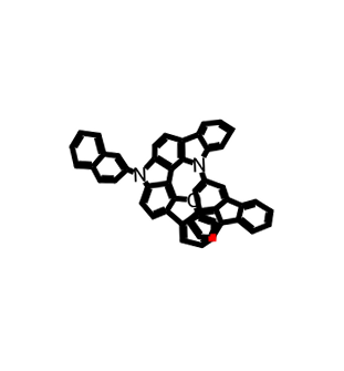 c1ccc2c(c1)-c1cccc3cc(-n4c5ccccc5c5ccc6c(c7c8oc9ccccc9c8ccc7n6-c6ccc7ccccc7c6)c54)cc-2c13